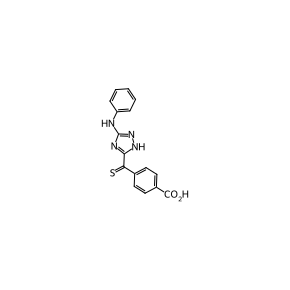 O=C(O)c1ccc(C(=S)c2nc(Nc3ccccc3)n[nH]2)cc1